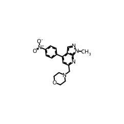 Cn1ncc2c(-c3ccc([N+](=O)[O-])cc3)cc(CN3CCOCC3)nc21